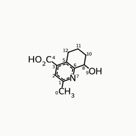 Cc1cc(C(=O)O)c2c(n1)C(O)CCC2